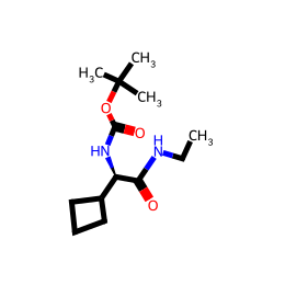 CCNC(=O)[C@H](NC(=O)OC(C)(C)C)C1CCC1